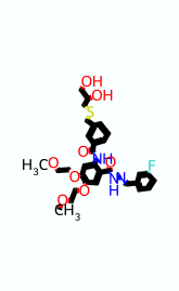 COCCOc1cc(NC(=O)c2cccc(CSCC(O)CO)c2)c(C(=O)NN=Cc2cccc(F)c2)cc1OCCOC